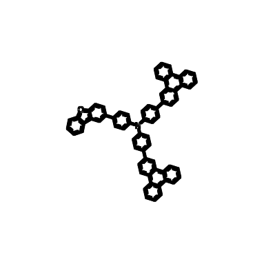 c1ccc2c(c1)oc1ccc(-c3ccc(N(c4ccc(-c5ccc6c7ccccc7c7ccccc7c6c5)cc4)c4ccc(-c5ccc6c7ccccc7c7ccccc7c6c5)cc4)cc3)cc12